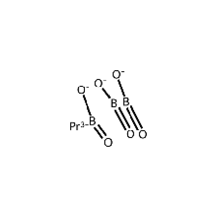 O=B[O-].O=B[O-].O=B[O-].[Pr+3]